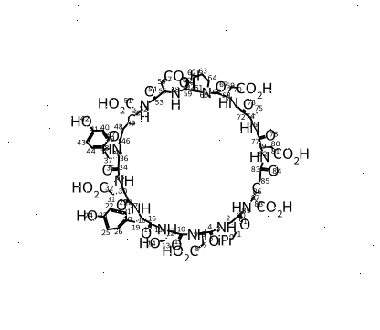 CC(C)C[C@@H]1NC(=O)[C@@H](CC(=O)O)NC(=O)[C@H](CO)NC(=O)[C@H](Cc2ccc(O)cc2)NC(=O)[C@H](CC(=O)O)NC(=O)[C@H](Cc2ccc(O)cc2)NC(=O)CC[C@H](C(=O)O)NC(=O)[C@@H](CC(=O)O)NC(=O)[C@@H]2CCCN2C(=O)[C@@H](CC(=O)O)NC(=O)[C@H](C)NC(=O)[C@@H](CC(=O)O)NC(=O)CC[C@H](C(=O)O)NC1=O